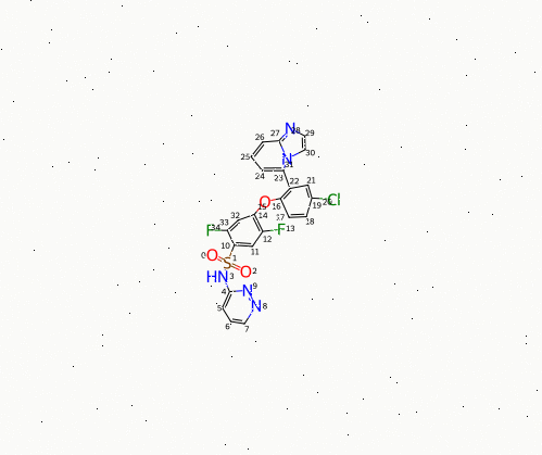 O=S(=O)(Nc1cccnn1)c1cc(F)c(Oc2ccc(Cl)cc2-c2cccc3nccn23)cc1F